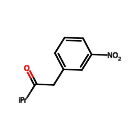 CC(C)C(=O)Cc1cccc([N+](=O)[O-])c1